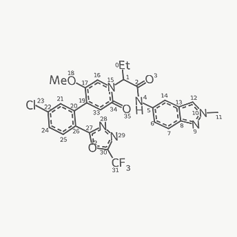 CCC(C(=O)Nc1ccc2nn(C)cc2c1)n1cc(OC)c(-c2cc(Cl)ccc2-c2nnc(C(F)(F)F)o2)cc1=O